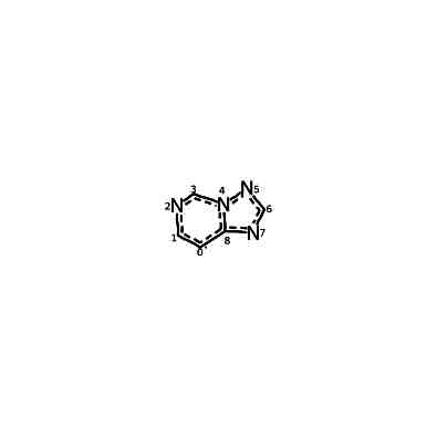 [c]1cncn2ncnc12